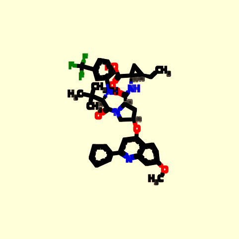 CC[C@@H]1C[C@]1(NC(=O)[C@@H]1C[C@@H](Oc2cc(-c3ccccc3)nc3cc(OC)ccc23)CN1C(=O)[C@@H](Nc1cccc(C(F)(F)F)c1)C(C)(C)C)C(=O)O